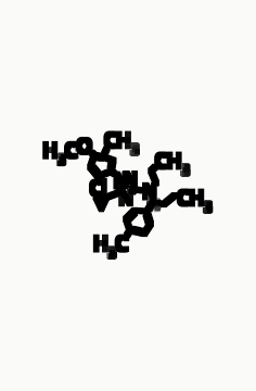 CCC[C@@H](c1ccc(C)cc1)N(CCC)c1nc(C2CC2)n(-c2cc(C)c(OC)cc2Cl)n1